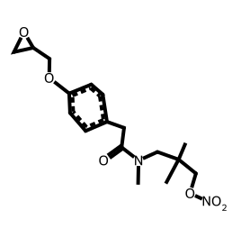 CN(CC(C)(C)CO[N+](=O)[O-])C(=O)Cc1ccc(OCC2CO2)cc1